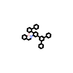 C1=CN2B(c3ccccc31)c1cccc(-c3ccccc3)c1-c1ccc(-c3cc(-c4ccccc4)cc(-c4ccccc4)c3)cc12